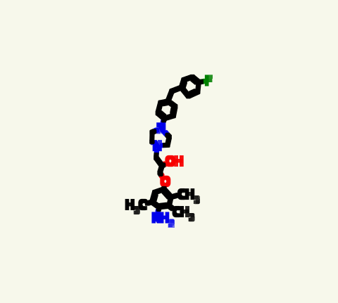 Cc1cc(OCC(O)CN2CCN(c3ccc(Cc4ccc(F)cc4)cc3)CC2)c(C)c(C)c1N